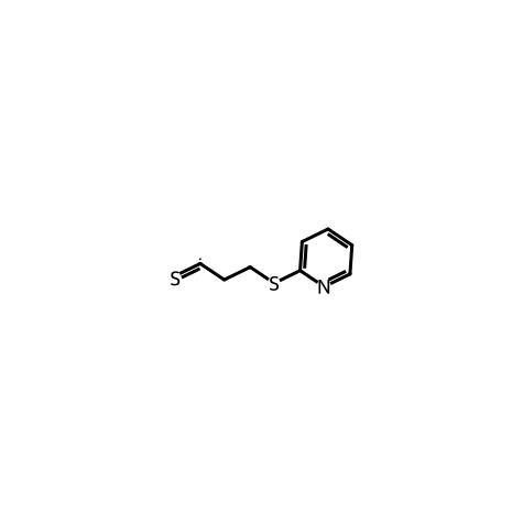 S=[C]CCSc1ccccn1